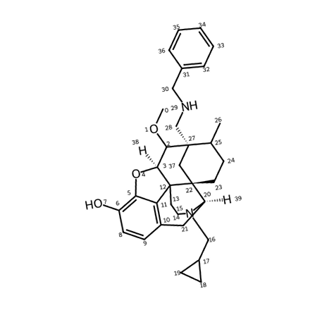 COC1[C@@H]2Oc3c(O)ccc4c3C23CCN(CC2CC2)[C@H](C4)[C@]32CCC(C)[C@@]1(CNCc1ccccc1)C2